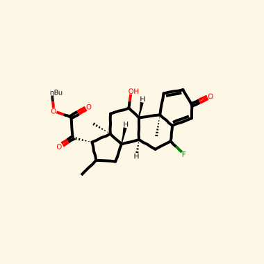 CCCCOC(=O)C(=O)[C@H]1C(C)C[C@H]2[C@@H]3CC(F)C4=CC(=O)C=C[C@]4(C)[C@H]3C(O)C[C@]12C